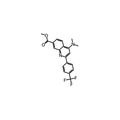 COC(=O)c1ccc2c(N(C)C)cc(-c3ccc(C(F)(F)F)cc3)nc2c1